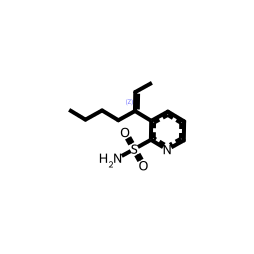 C/C=C(/CCCC)c1cccnc1S(N)(=O)=O